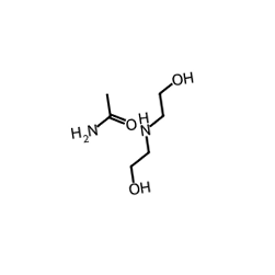 CC(N)=O.OCCNCCO